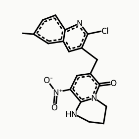 Cc1ccc2nc(Cl)c(Cc3cc([N+](=O)[O-])c4n(c3=O)CCCN4)cc2c1